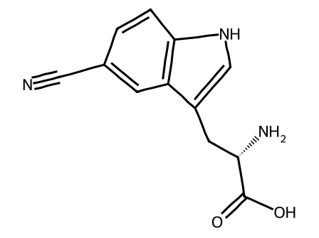 N#Cc1ccc2[nH]cc(C[C@H](N)C(=O)O)c2c1